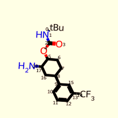 CC(C)(C)NC(=O)OC1CCC(c2cccc(C(F)(F)F)c2)CC1N